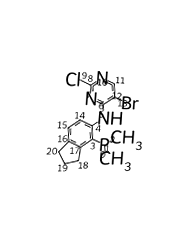 CP(C)c1c(Nc2nc(Cl)ncc2Br)ccc2c1CCC2